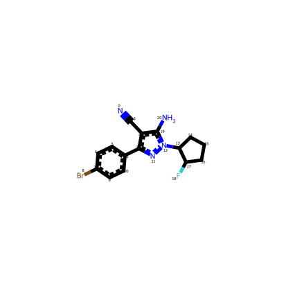 N#Cc1c(-c2ccc(Br)cc2)nn(C2CCCC2F)c1N